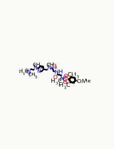 COc1cc(C)c(S(=O)(=O)N(C)CC(=O)NCC(=O)N(C)Cc2ccc(N(C)CCN(C)C)nc2)c(C)c1